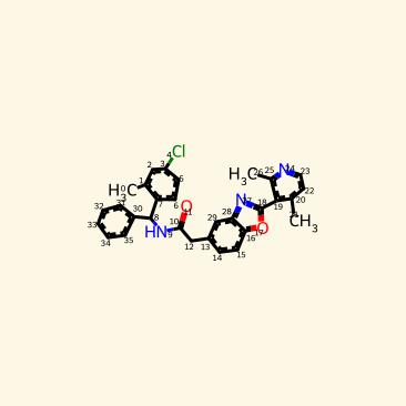 Cc1cc(Cl)ccc1C(NC(=O)Cc1ccc2oc(-c3c(C)ccnc3C)nc2c1)c1ccccc1